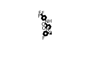 COc1cc(F)ccc1-n1cccc(C(=O)Nc2ccc(C(F)(F)F)cc2)c1=O